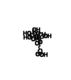 COc1cc(/C=C/C(=O)OCC2=C[C@@H](O)[C@@H]3C=CO[C@@H](O[C@@H]4O[C@H](CO)[C@@H](O)[C@H](O)[C@H]4O)[C@H]23)ccc1O